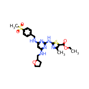 CCOC(=O)c1sc(Nc2nc(NCc3ccc(S(C)(=O)=O)cc3)cc(NCC3CCCO3)n2)nc1C